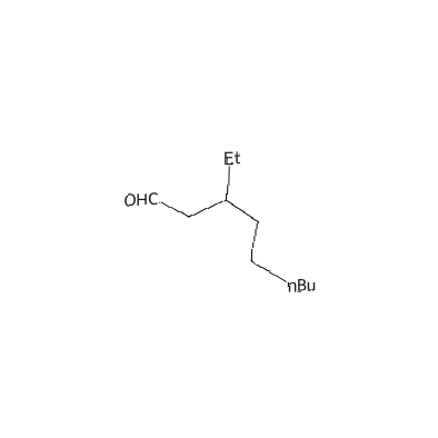 CCCCCCC(CC)CC=O